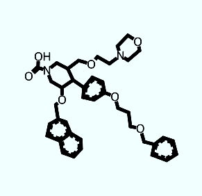 O=C(O)N1CC(COCCN2CCOCC2)C(c2ccc(OCCCOCc3ccccc3)cc2)C(OCc2ccc3ccccc3c2)C1